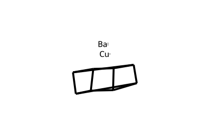 C12C3C4C1C1C2C3C41.[Ba].[Cu]